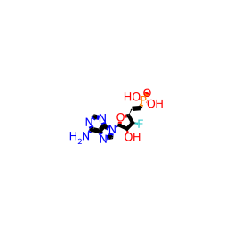 Nc1ncnc2c1ncn2[C@@H]1O[C@H](/C=C/P(=O)(O)O)[C@@H](F)[C@H]1O